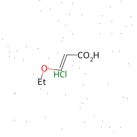 CCOC=CC(=O)O.Cl